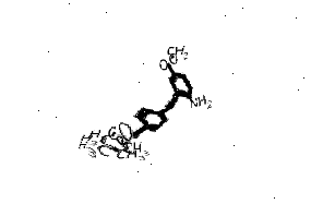 COC(=O)c1ccc(N)c(C#Cc2ccc(CO[Si](C)(C)C(C)(C)C)cc2)c1